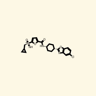 N=[S@@](=O)(CC1CC1)c1ccc(C(=O)N[C@H]2CC[C@@H](c3nc4cc(Cl)ccc4o3)CC2)o1